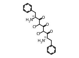 N[C@@H](Cc1ccccc1)C(=O)C(Cl)C(=O)C(Cl)C(=O)[C@@H](N)Cc1ccccc1